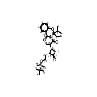 CCC1(C(C)C)Oc2ccccc2C(=O)N1C(=O)C(C)[C@H]1NC(=O)[C@@H]1CCO[Si](C)(C)C(C)(C)C